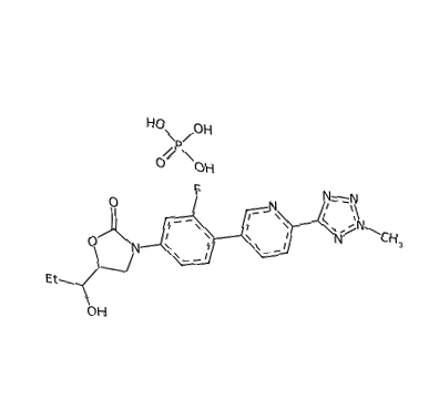 CCC(O)C1CN(c2ccc(-c3ccc(-c4nnn(C)n4)nc3)c(F)c2)C(=O)O1.O=P(O)(O)O